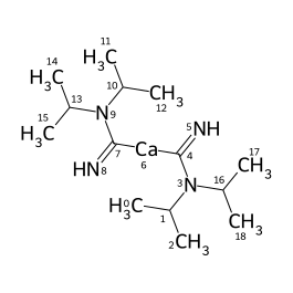 CC(C)N([C](=N)[Ca][C](=N)N(C(C)C)C(C)C)C(C)C